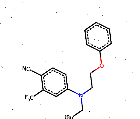 CC(C)(C)CN(CCOc1ccccc1)c1ccc(C#N)c(C(F)(F)F)c1